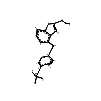 CCC1=Cc2c(cccc2Cc2ccc(C(C)(C)C)cc2)C1